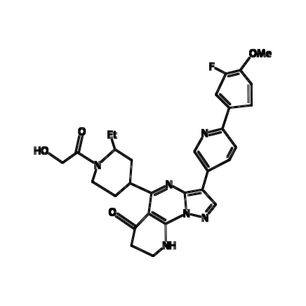 CCC1CC(c2nc3c(-c4ccc(-c5ccc(OC)c(F)c5)nc4)cnn3c3c2C(=O)CCN3)CCN1C(=O)CO